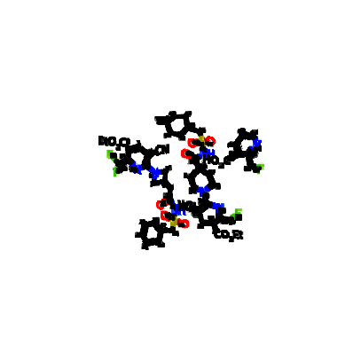 CCOC(=O)c1cc(C#N)c(N2CC(CC(=O)NS(=O)(=O)Cc3ccccc3)C2)nc1C(F)F.CCOC(=O)c1cc(C#N)c(N2CCC(C(=O)NS(=O)(=O)CC3CCC(C)CC3)CC2)nc1CF.O=C(O)c1cccnc1CF